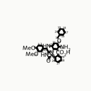 COc1ccc(C(Nc2ccc(N)c(OCc3ccccc3)c2)c2nn(-c3ccccc3C(=O)O)c(=O)[nH]2)cc1OC